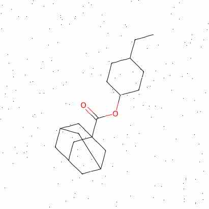 CCC1CCC(OC(=O)C23CC4CC(CC(C4)C2)C3)CC1